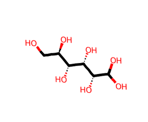 OC[C@@H](O)[C@@H](O)[C@H](O)[C@@H](O)C(O)O